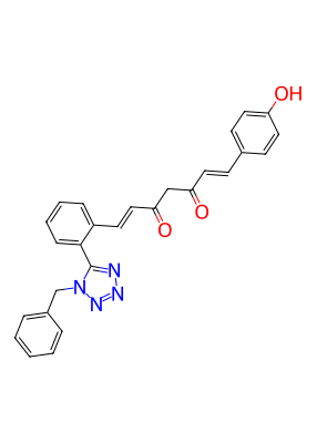 O=C(C=Cc1ccc(O)cc1)CC(=O)C=Cc1ccccc1-c1nnnn1Cc1ccccc1